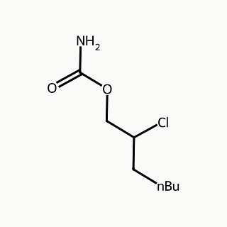 CCCCCC(Cl)COC(N)=O